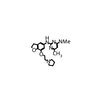 CNc1cc(C)nc(Nc2cc3c(c(OCCN4CCCC4)c2)OCC3)n1